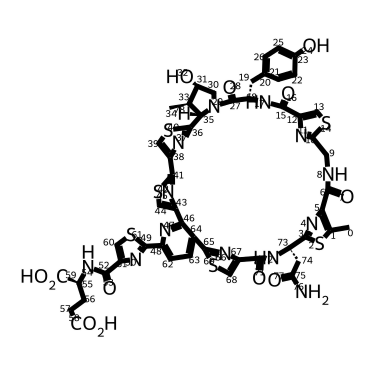 Cc1sc2nc1C(=O)NCc1nc(cs1)C(=O)N[C@@H](Cc1ccc(O)cc1)C(=O)N1C[C@H](O)[C@H](C)[C@H]1c1nc(cs1)-c1nc(cs1)-c1nc(-c3nc(C(=O)N[C@@H](CCC(=O)O)C(=O)O)cs3)ccc1-c1nc(cs1)C(=O)N[C@H]2CC(N)=O